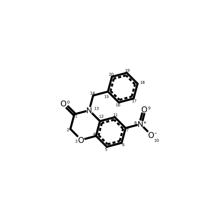 O=C1COc2ccc([N+](=O)[O-])cc2N1Cc1ccccc1